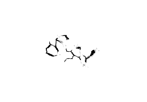 CCCc1c(Cn2ccnc2-c2ncccc2F)ncn2c(C#N)nnc12